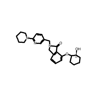 O=C1c2c(cccc2OC2CCCC[C@@H]2O)CN1Cc1ccc(N2CCCCC2)nc1